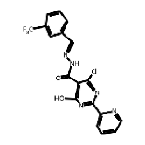 O=C(NN=Cc1cccc(C(F)(F)F)c1)c1c(O)nc(-c2ccccn2)nc1Cl